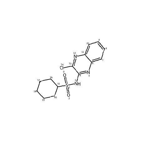 O=S(=O)(Nc1nc2ccccc2nc1Cl)C1CCCCC1